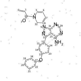 C=CC(=O)N1C=CC=C(n2nc(-c3ccc(Oc4ccccc4)cc3)c3c(N)ncnc32)C1